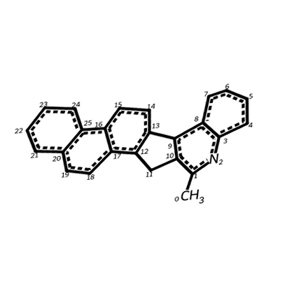 Cc1nc2ccccc2c2c1Cc1c-2ccc2c1ccc1ccccc12